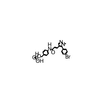 Cn1ncc(C=CC(=O)Nc2ccc(CO[PH](=O)O)cc2)c1-c1ccc(Br)cc1